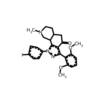 COc1cccc(OC)c1-c1nn(-c2ccc(I)cc2)c2c1C(=O)CC1CCN(C)CC21